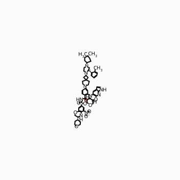 Cc1ccccc1[C@@H]1CN(C2CCC(C)(C)CC2)CCN1C1CC2(CCN(c3ccc(C(=O)NS(=O)(=O)c4cc5c(c([N+](=O)[O-])c4)N[C@H](C4CCOCC4)CO5)c(N4c5cc6cc[nH]c6nc5O[C@H]5COCC[C@@H]54)c3)CC2)C1